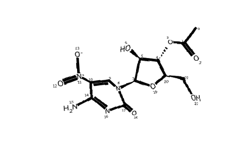 CC(=O)O[C@H]1[C@H](O)[C@H](n2cc([N+](=O)[O-])c(N)nc2=O)O[C@@H]1CO